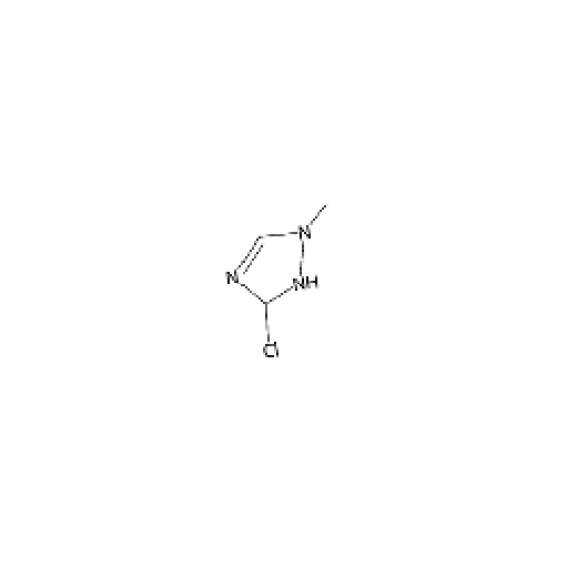 CN1C=NC(Cl)N1